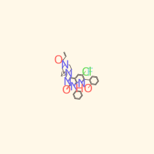 C=CC(=O)N1CCN(c2nc(=O)n(-c3ccccc3)c3nc(-c4c(O)cccc4F)c(Cl)cc23)[C@@H](C)C1